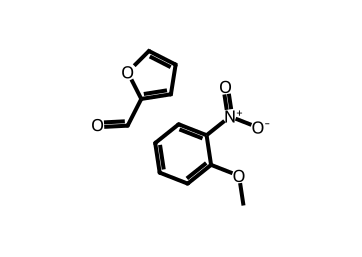 COc1ccccc1[N+](=O)[O-].O=Cc1ccco1